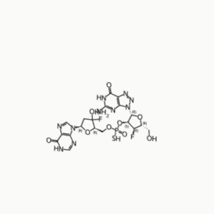 Nc1nc2c(nnn2[C@@H]2O[C@H](CO)[C@@H](F)[C@H]2OP(=O)(S)OC[C@H]2O[C@@H](n3cnc4c(=O)[nH]cnc43)CC2(O)F)c(=O)[nH]1